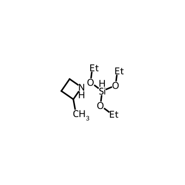 CC1CCN1.CCO[SiH](OCC)OCC